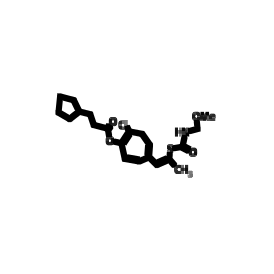 COCNC(=O)S/C(C)=C\C1=CCC(Cl)=C(OC(=O)CCC2CCCC2)C=C1